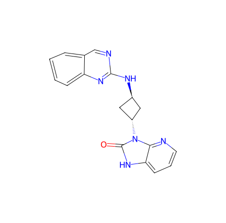 O=c1[nH]c2cccnc2n1[C@H]1C[C@H](Nc2ncc3ccccc3n2)C1